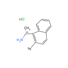 Cl.[2H]c1ccc2ccccc2c1[C@@H](C)N